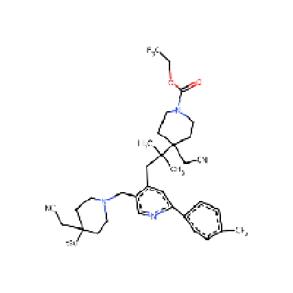 CC(C)(C)C1(CC#N)CCN(Cc2cnc(-c3ccc(C(F)(F)F)cc3)cc2CC(C)(C)C2(CC#N)CCN(C(=O)OCC(F)(F)F)CC2)CC1